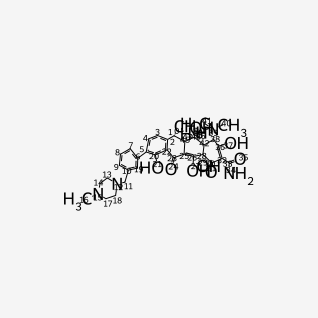 C[C@H]1c2ccc(-c3cccc(CN4CCN(C)CC4)c3)c(O)c2C(=O)C2=C(O)[C@]3(O)C(=O)C(C(N)=O)=C(O)[C@@H](N(C)C)[C@@H]3[C@@H](O)[C@@H]21